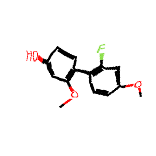 COc1ccc(-c2ccc(O)cc2OC)c(F)c1